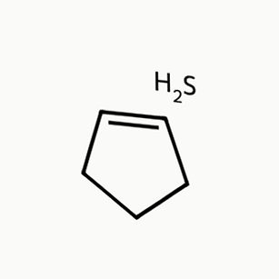 C1=CCCC1.S